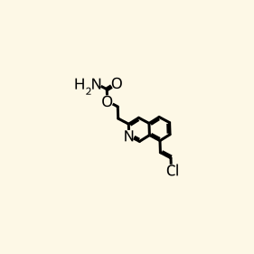 NC(=O)OCCc1cc2cccc(C=CCl)c2cn1